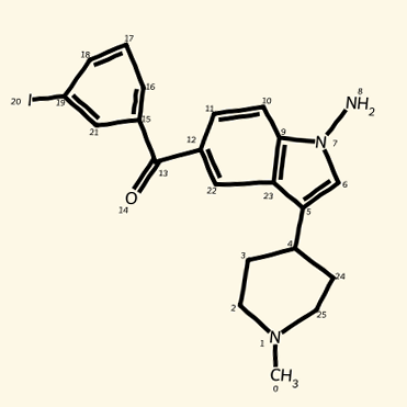 CN1CCC(c2cn(N)c3ccc(C(=O)c4cccc(I)c4)cc23)CC1